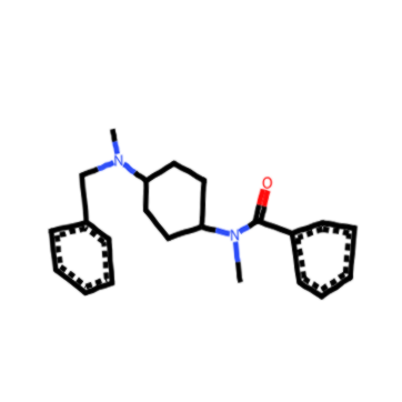 CN(Cc1ccccc1)C1CCC(N(C)C(=O)c2ccccc2)CC1